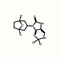 [2H]C1(Cl)N=c2c([nH]c(=O)n2C2C[C@H]3CC[C@@H](C2)O3)=CN1